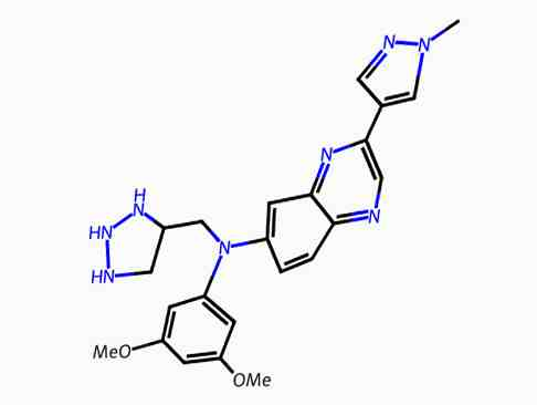 COc1cc(OC)cc(N(CC2CNNN2)c2ccc3ncc(-c4cnn(C)c4)nc3c2)c1